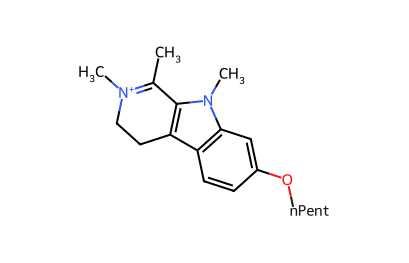 CCCCCOc1ccc2c3c(n(C)c2c1)C(C)=[N+](C)CC3